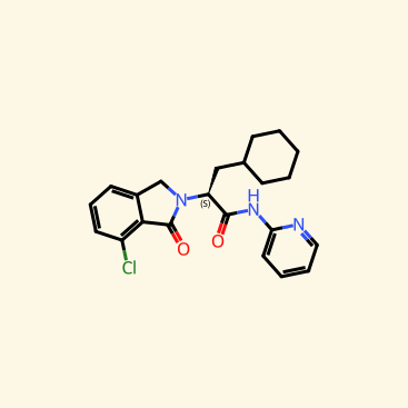 O=C(Nc1ccccn1)[C@H](CC1CCCCC1)N1Cc2cccc(Cl)c2C1=O